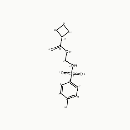 Cc1ccc(S(=O)(=O)NCOC(=O)C2CCC2)cc1